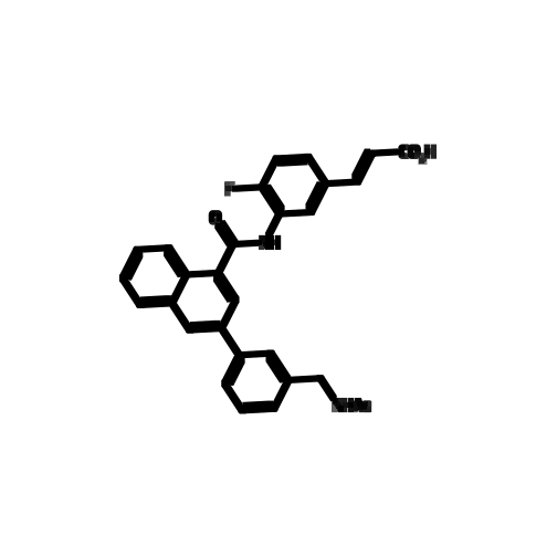 CC(=O)NCc1cccc(-c2cc(C(=O)Nc3cc(/C=C/C(=O)O)ccc3F)c3ccccc3c2)c1